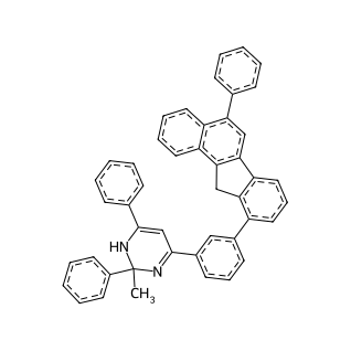 CC1(c2ccccc2)N=C(c2cccc(-c3cccc4c3Cc3c-4cc(-c4ccccc4)c4ccccc34)c2)C=C(c2ccccc2)N1